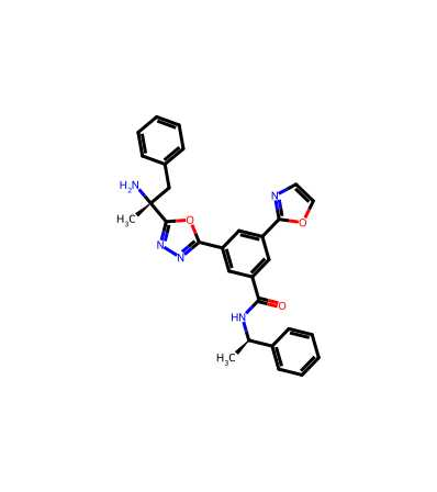 C[C@@H](NC(=O)c1cc(-c2ncco2)cc(-c2nnc([C@](C)(N)Cc3ccccc3)o2)c1)c1ccccc1